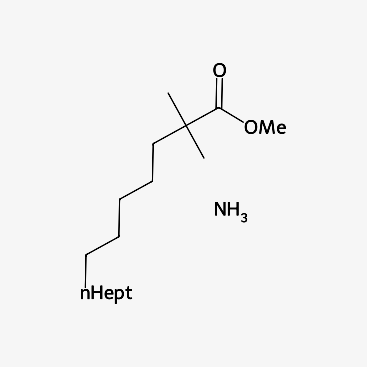 CCCCCCCCCCCCC(C)(C)C(=O)OC.N